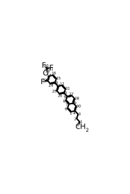 C=CCCc1ccc2cc(-c3ccc(-c4ccc(OC(F)F)c(F)c4)cc3)ccc2c1